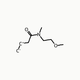 [CH2-][CH+]CC(=O)N(C)CCOC